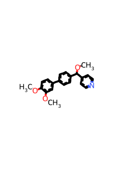 COc1ccc(-c2ccc(C(OC)c3ccncc3)cc2)cc1OC